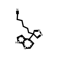 N#CCCCCCC1(c2ccnc3[nH]ccc23)C=NN=C1